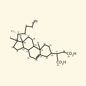 CC(C)CCC[C@@H](C)C1(C)CCC2C3CC=C4CC(C(CC(=O)O)C(=O)O)CCC4(C)C3CCC21C